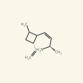 C=C[C@@H]1CC(C)C1/C=C\[C@@H](C)N